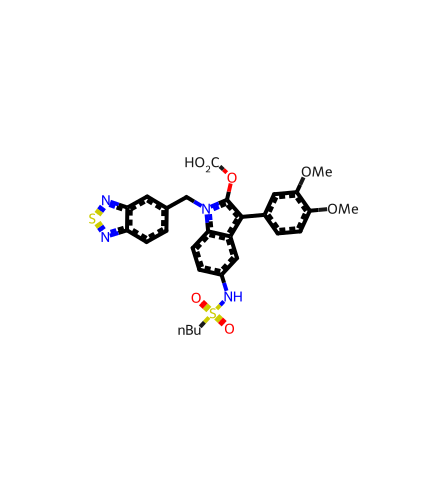 CCCCS(=O)(=O)Nc1ccc2c(c1)c(-c1ccc(OC)c(OC)c1)c(OC(=O)O)n2Cc1ccc2nsnc2c1